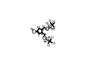 COC1=CC(CO[Si](C)(C)C(C)(C)C)C(CO[Si](C)(C)C(C)(C)C)C1